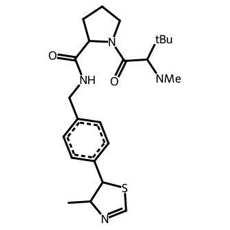 CNC(C(=O)N1CCCC1C(=O)NCc1ccc(C2SC=NC2C)cc1)C(C)(C)C